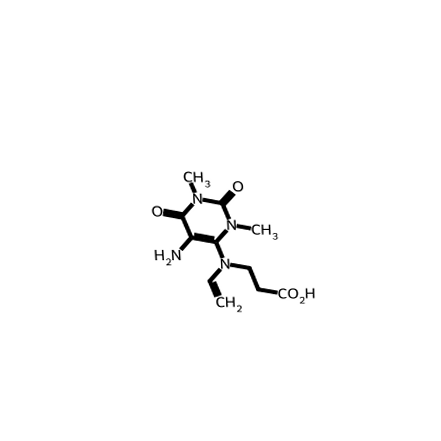 C=CN(CCC(=O)O)c1c(N)c(=O)n(C)c(=O)n1C